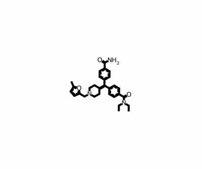 CCN(CC)C(=O)c1ccc(C(=C2CCN(Cc3ccc(C)o3)CC2)c2ccc(C(N)=O)cc2)cc1